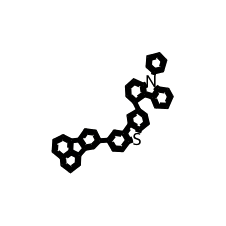 c1ccc(-n2c3ccccc3c3c(-c4ccc5sc6ccc(-c7ccc8c(c7)-c7cccc9cccc-8c79)cc6c5c4)cccc32)cc1